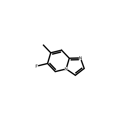 Cc1[c]c2nccn2cc1F